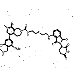 COc1cc(-c2cn(C)c(=O)c3c2CCN(C(=O)NCCOCCNc2cccc4c2C(=O)N(C2CCC(=O)NC2=O)C4=O)C3)cc(OC)c1CN(C)C